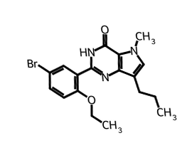 CCCc1cn(C)c2c(=O)[nH]c(-c3cc(Br)ccc3OCC)nc12